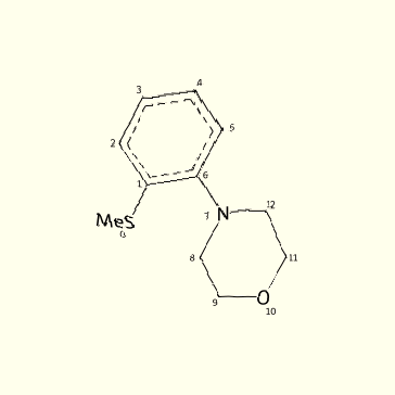 [CH2]Sc1ccccc1N1CCOCC1